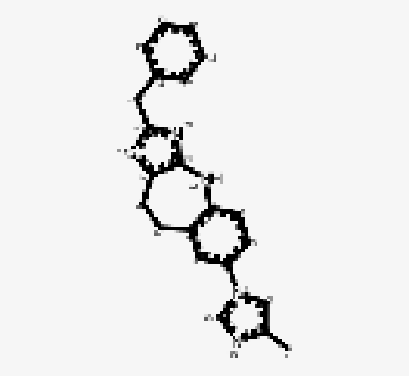 Cc1cn(-c2ccc3c(c2)CCc2sc(Cc4ccccc4)nc2N3)cn1